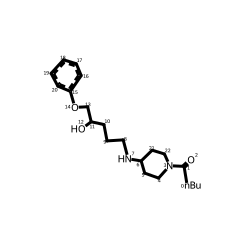 CCCCC(=O)N1CCC(NCCCC(O)COc2ccccc2)CC1